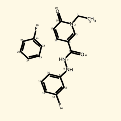 CCn1cc(C(=O)NNc2cccc(F)c2)ccc1=O.Fc1ccccc1